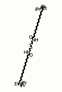 CC[N+](CCCCCCCCCCCCCCCC(=O)NCCSSCCNC(=O)CCCCCCCCCCCCCCC[N+](CC)(C(C)C)C(C)C)(C(C)C)C(C)C